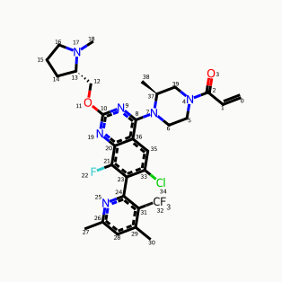 C=CC(=O)N1CCN(c2nc(OC[C@@H]3CCCN3C)nc3c(F)c(-c4nc(C)cc(C)c4C(F)(F)F)c(Cl)cc23)[C@@H](C)C1